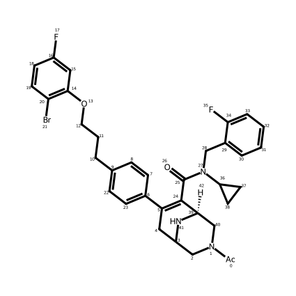 CC(=O)N1CC2CC(c3ccc(CCCOc4cc(F)ccc4Br)cc3)=C(C(=O)N(Cc3ccccc3F)C3CC3)[C@@H](C1)N2